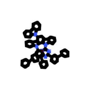 c1ccc(-c2ccc(-c3nc(-c4cccc(-c5ccccc5)c4)nc(-n4c5ccccc5c5cc(-n6c7ccccc7c7ccccc76)c6c7ccccc7n(-c7ccc(-c8ccccc8)cc7)c6c54)n3)cc2)cc1